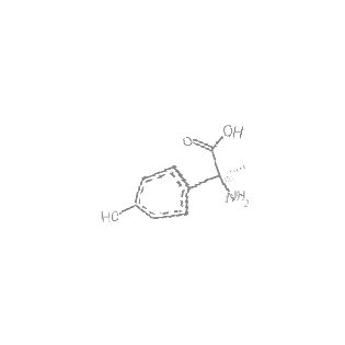 C[C@@](N)(C(=O)O)c1ccc(O)cc1